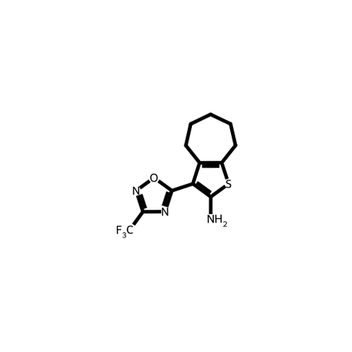 Nc1sc2c(c1-c1nc(C(F)(F)F)no1)CCCCC2